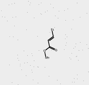 [CH2]CCOC(=O)/C=C/CC